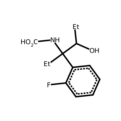 CCC(O)C(CC)(NC(=O)O)c1ccccc1F